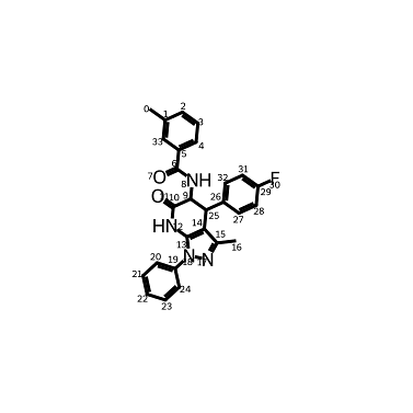 Cc1cccc(C(=O)NC2C(=O)Nc3c(c(C)nn3-c3ccccc3)C2c2ccc(F)cc2)c1